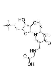 C=P(C)(C)CC[C@H]1O[C@@H](n2cc(CNCC(=O)O)c(=O)[nH]c2=S)[C@H](O)[C@@H]1O